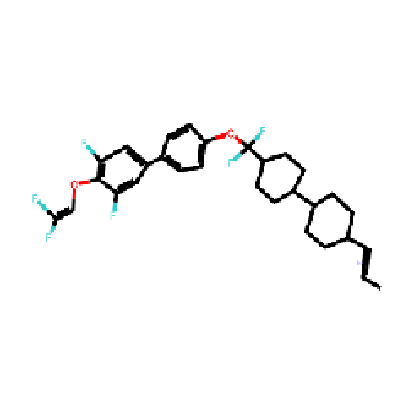 C/C=C/C1CCC(C2CCC(C(F)(F)Oc3ccc(-c4cc(F)c(OC=C(F)F)c(F)c4)cc3)CC2)CC1